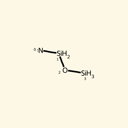 [N][SiH2]O[SiH3]